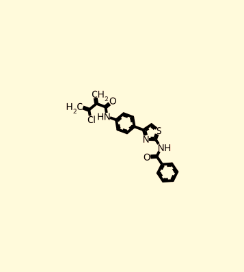 C=C(Cl)C(=C)C(=O)Nc1ccc(-c2csc(NC(=O)c3ccccc3)n2)cc1